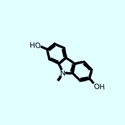 Cn1c2cc(O)ccc2c2ccc(O)cc21